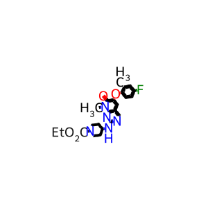 CCOC(=O)N1CCC(Nc2ncc3cc(Oc4ccc(F)cc4C)c(=O)n(C)c3n2)CC1